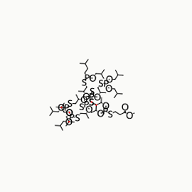 COC(=O)CCSP(OC(C)CSP(=S)(OC(C)CSP(CCC(C)C)OCC(C)C)OC(C)CSP(OCC(C)C)OCC(C)C)OC(C)CSP(=S)(OC(C)CSP(OCC(C)C)OCC(C)C)OC(C)CSP(OCC(C)C)OCC(C)C